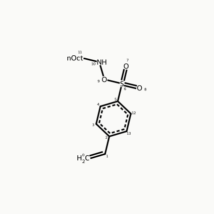 C=Cc1ccc(S(=O)(=O)ONCCCCCCCC)cc1